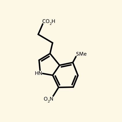 CSc1ccc([N+](=O)[O-])c2[nH]cc(CCC(=O)O)c12